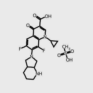 CS(=O)(=O)O.O=C(O)c1cn(C2CC2)c2c(F)c(N3CC4CCCNC4C3)c(F)cc2c1=O